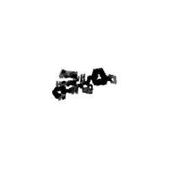 CCc1ncccc1N/C(=N\C#N)NC(NC(=O)Cc1ccc(Cl)cc1)C(C)(C)C